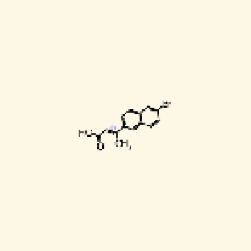 C/C(=C\C(=O)O)c1ccc2cc(Br)ccc2c1